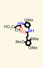 COc1cc(OC)c(/C=C/C(=O)Nc2ccc(OC)c(NC(=O)CC(C)C(=O)O)c2)c(OC)c1